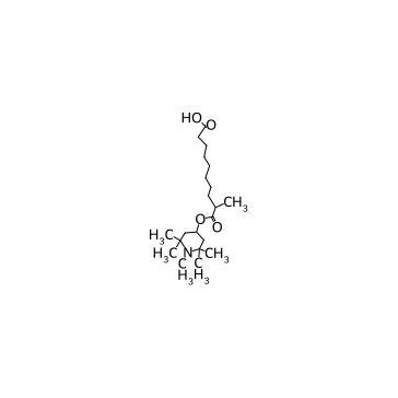 CC(CCCCCCCC(=O)O)C(=O)OC1CC(C)(C)N(C)C(C)(C)C1